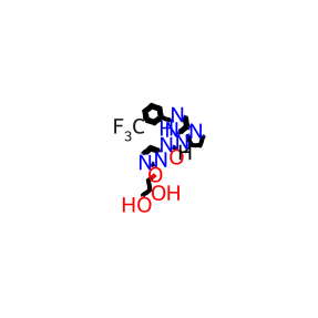 O=C(Nc1ccnc(OC[C@H](O)CO)n1)N1c2nc(-c3cccc(C(F)(F)F)c3)ncc2N2CC[C@H]1C2